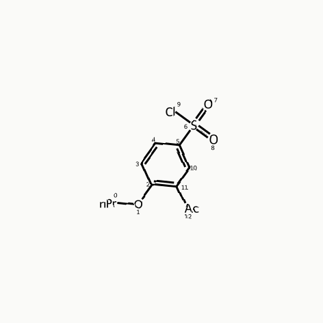 CCCOc1ccc(S(=O)(=O)Cl)cc1C(C)=O